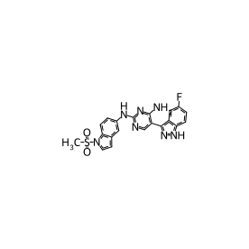 CS(=O)(=O)n1ccc2cc(Nc3ncc(-c4n[nH]c5ccc(F)cc45)c(N)n3)ccc21